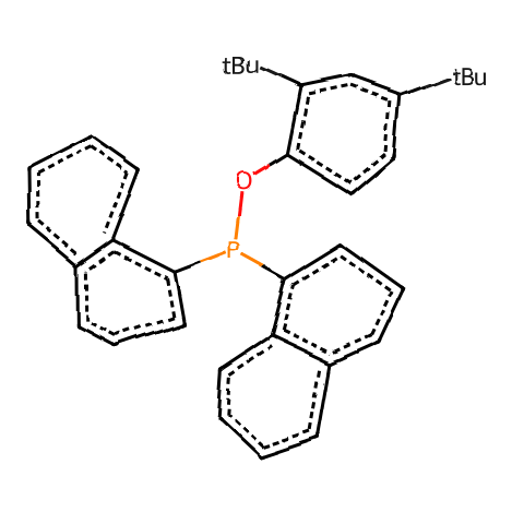 CC(C)(C)c1ccc(OP(c2cccc3ccccc23)c2cccc3ccccc23)c(C(C)(C)C)c1